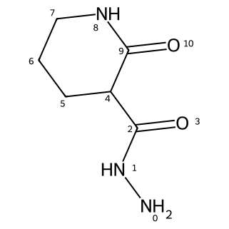 NNC(=O)C1CCCNC1=O